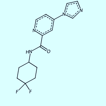 O=C(NC1CCC(F)(F)CC1)c1cc(-n2ccnc2)ccn1